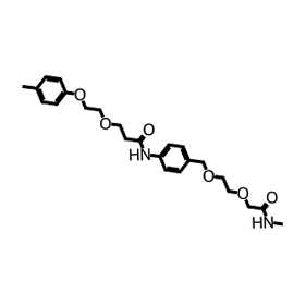 CNC(=O)COCCOCc1ccc(NC(=O)CCOCCOc2ccc(C)cc2)cc1